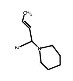 CC=CC(Br)N1CCCCC1